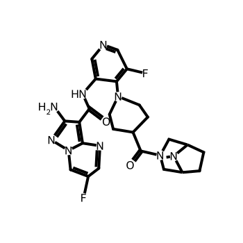 CN1C2CCC1CN(C(=O)C1CCN(c3c(F)cncc3NC(=O)c3c(N)nn4cc(F)cnc34)CC1)C2